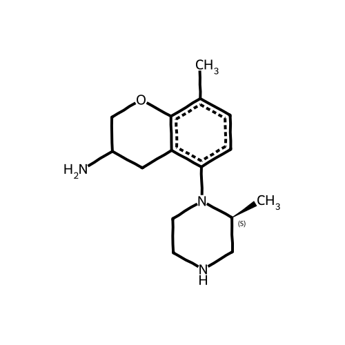 Cc1ccc(N2CCNC[C@@H]2C)c2c1OCC(N)C2